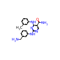 Cc1cccc(Nc2nc(Nc3cccc(CN)c3)ncc2C(N)=O)c1